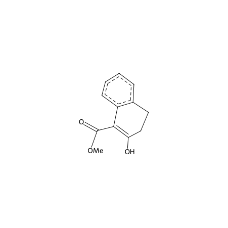 COC(=O)C1=C(O)CCc2ccccc21